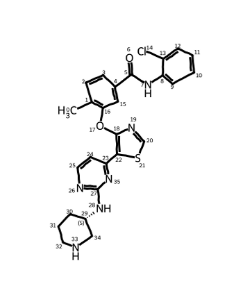 Cc1ccc(C(=O)Nc2ccccc2Cl)cc1Oc1ncsc1-c1ccnc(N[C@H]2CCCNC2)n1